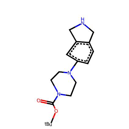 CC(C)(C)OC(=O)N1CCN(c2ccc3c(c2)CNC3)CC1